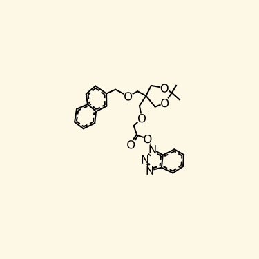 CC1(C)OCC(COCC(=O)On2nnc3ccccc32)(COCc2ccc3ccccc3c2)CO1